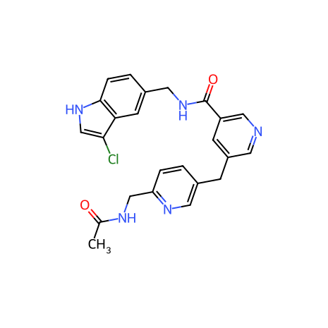 CC(=O)NCc1ccc(Cc2cncc(C(=O)NCc3ccc4[nH]cc(Cl)c4c3)c2)cn1